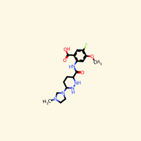 COc1cc(NC(=O)C2CCC(N3CCN(C)C3)NN2)c(C(=O)O)cc1F